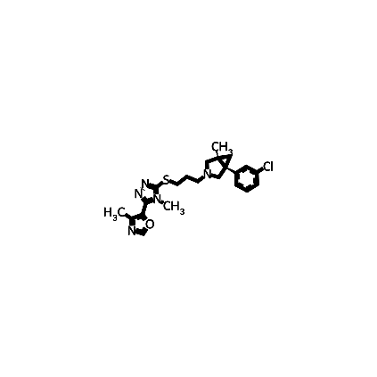 Cc1ncoc1-c1nnc(SCCCN2C[C@@]3(C)C[C@]3(c3cccc(Cl)c3)C2)n1C